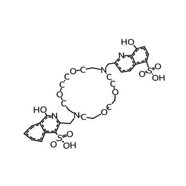 O=S(=O)(O)c1c(CN2CCOCCOCCN(Cc3ccc4c(S(=O)(=O)O)ccc(O)c4n3)CCOCCOCC2)nc(O)c2ccccc12